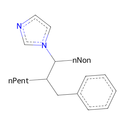 CCCCCCCCCC(C(CCCCC)Cc1ccccc1)n1ccnc1